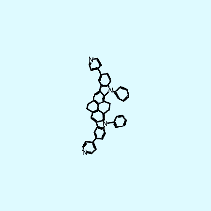 C1=C(c2ccncc2)CCc2c1c1cc3c4c(c1n2-c1ccccc1)CCc1c-4c(cc2c4cc(-c5ccncc5)ccc4n(-c4ccccc4)c12)CC3